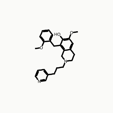 COc1ccccc1Cc1c(O)c(OC)cc2c1CN(CCCc1cccnc1)CC2